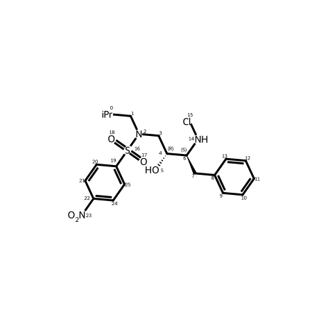 CC(C)CN(C[C@@H](O)[C@H](Cc1ccccc1)NCl)S(=O)(=O)c1ccc([N+](=O)[O-])cc1